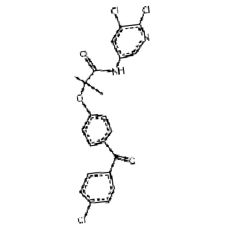 CC(C)(Oc1ccc(C(=O)c2ccc(Cl)cc2)cc1)C(=O)Nc1cnc(Cl)c(Cl)c1